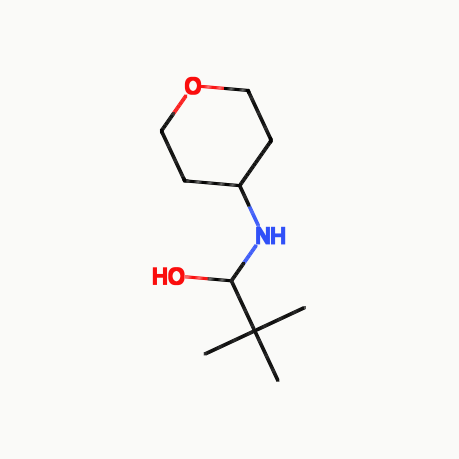 CC(C)(C)C(O)NC1CCOCC1